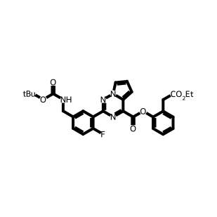 CCOC(=O)Cc1ccccc1OC(=O)c1nc(-c2cc(CNC(=O)OC(C)(C)C)ccc2F)nn2cccc12